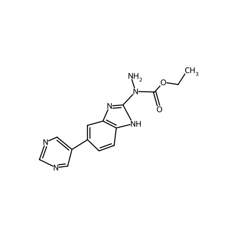 CCOC(=O)N(N)c1nc2cc(-c3cncnc3)ccc2[nH]1